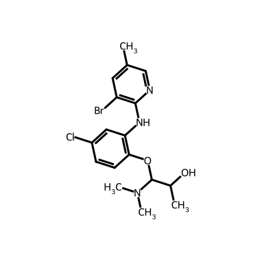 Cc1cnc(Nc2cc(Cl)ccc2OC(C(C)O)N(C)C)c(Br)c1